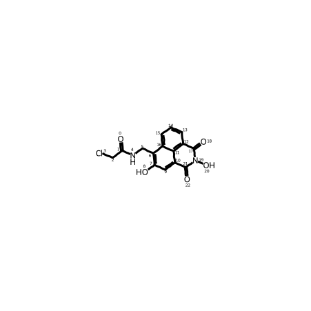 O=C(CCl)NCc1c(O)cc2c3c(cccc13)C(=O)N(O)C2=O